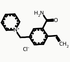 C=Cc1ccc(C[n+]2ccccc2)cc1C(N)=O.[Cl-]